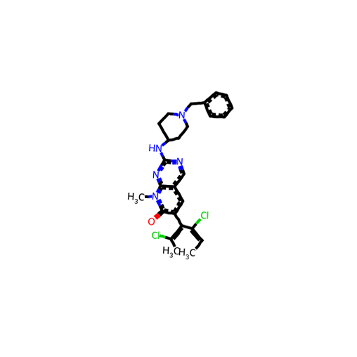 C/C=C(Cl)\C(=C(/C)Cl)c1cc2cnc(NC3CCN(Cc4ccccc4)CC3)nc2n(C)c1=O